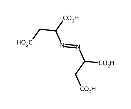 O=C(O)CC(N=NC(CC(=O)O)C(=O)O)C(=O)O